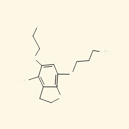 COCCCOc1cc(OCCC(C)C)c(C=O)c2c1OCC2